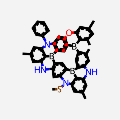 CSN1c2cc3c(cc2B2c4cc(B5c6ccccc6Oc6cc(C)cc(C)c65)c(C)cc4Nc4cc(C)cc1c42)B1c2ccccc2N(c2ccccc2)c2cc(C)cc(c21)N3